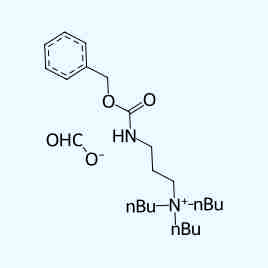 CCCC[N+](CCCC)(CCCC)CCCNC(=O)OCc1ccccc1.O=C[O-]